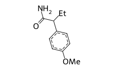 CCC(C(N)=O)c1ccc(OC)cc1